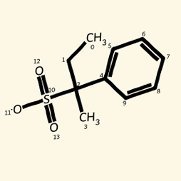 CCC(C)(c1ccccc1)S([O])(=O)=O